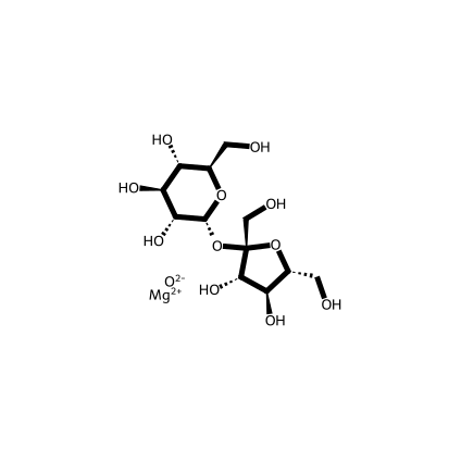 OC[C@H]1O[C@@](CO)(O[C@H]2O[C@H](CO)[C@@H](O)[C@H](O)[C@H]2O)[C@@H](O)[C@@H]1O.[Mg+2].[O-2]